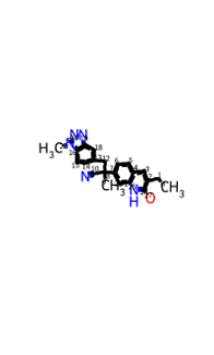 CCc1cc2ccc(C(C)(C#N)Cc3ccc4c(c3)nnn4C)cc2[nH]c1=O